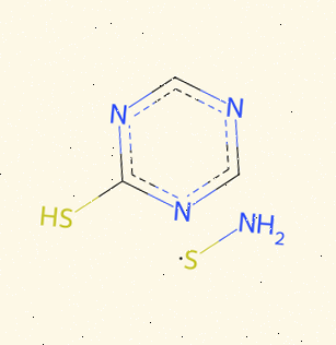 N[S].Sc1ncncn1